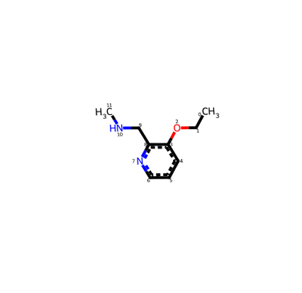 CCOc1cccnc1CNC